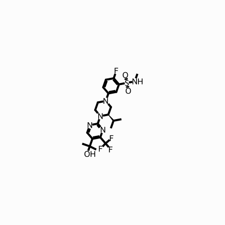 CNS(=O)(=O)c1cc(N2CCN(c3ncc(C(C)(C)O)c(C(F)(F)F)n3)[C@H](C(C)C)C2)ccc1F